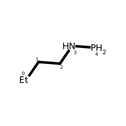 CCCCNP